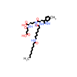 CCCCCCCCCC(=O)NCCCCCCCC(=O)N[C@H](Cc1c[nH]c2cc(C)ccc12)C(=O)NCCC[C@@H](NC(=O)CCC(=O)O)C(=O)O